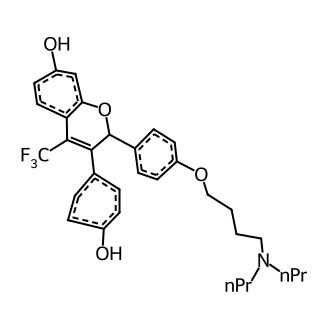 CCCN(CCC)CCCCOc1ccc(C2Oc3cc(O)ccc3C(C(F)(F)F)=C2c2ccc(O)cc2)cc1